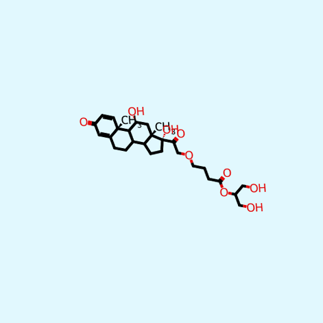 C[C@]12C=CC(=O)C=C1CCC1C2[C@@H](O)C[C@@]2(C)C1CC[C@]2(O)C(=O)COCCCC(=O)OC(CO)CO